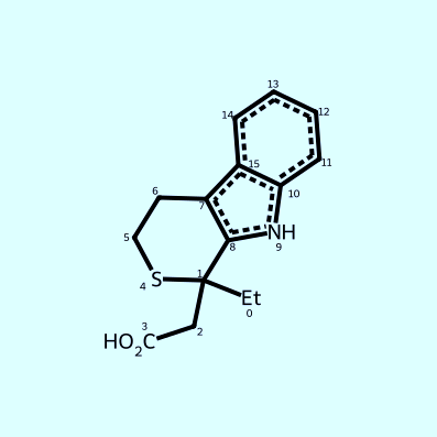 CCC1(CC(=O)O)SCCc2c1[nH]c1ccccc21